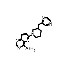 [AsH2]c1ncnc2ccc(N3CCCC(Cc4cnccn4)C3)nc12